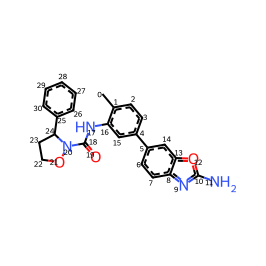 Cc1ccc(-c2ccc3nc(N)oc3c2)cc1NC(=O)N1OCCC1c1ccccc1